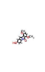 COc1ccc(OC)c2c1C(=O)n1c-2cc2cc(O)ccc21